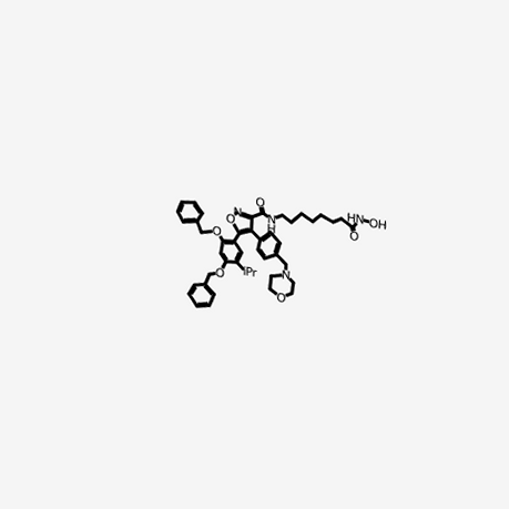 CC(C)c1cc(-c2onc(C(=O)NCCCCCCCC(=O)NO)c2-c2ccc(CN3CCOCC3)cc2)c(OCc2ccccc2)cc1OCc1ccccc1